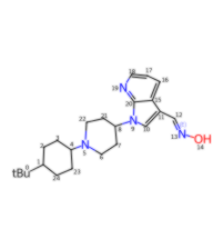 CC(C)(C)C1CCC(N2CCC(n3cc(/C=N/O)c4cccnc43)CC2)CC1